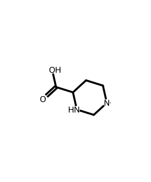 O=C(O)C1CC[N]CN1